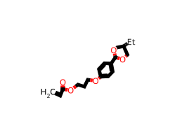 C=CC(=O)OCCCOc1ccc(C2OCC(CC)CO2)cc1